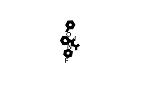 CC(C)c1c(I)c2c(OCc3ccccc3)cccc2n1-c1ccc(F)cc1